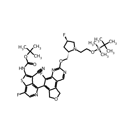 CC(C)(C)OC(=O)Nc1sc2c(F)cnc(-c3c4c(c5cnc(OC[C@@H]6C[C@@H](F)CN6CCO[Si](C)(C)C(C)(C)C)nc5c3F)COC4)c2c1C#N